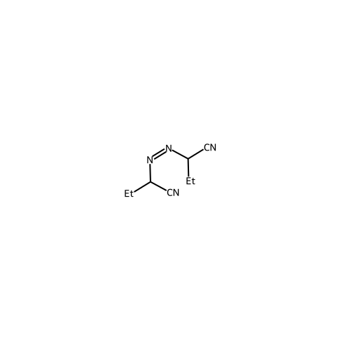 CCC(C#N)/N=N\C(C#N)CC